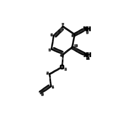 C=CCOC1=CC=CC(=N)C1=N